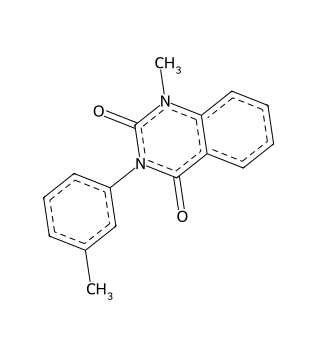 Cc1cccc(-n2c(=O)c3ccccc3n(C)c2=O)c1